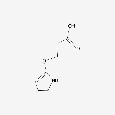 O=C(O)CCOc1ccc[nH]1